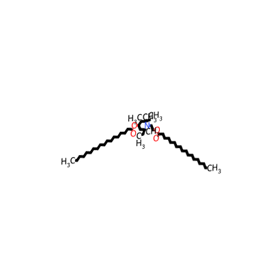 CCCCCCCCCCCCCCCCCC(=O)OCCN1C(C)(CC)CC(OC(=O)CCCCCCCCCCCCCCCCC)C(C)C1(C)CC